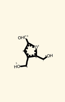 O=Cc1cc(CO)c(CO)o1